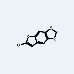 Cc1cc2cc3c(cc2o1)OCO3